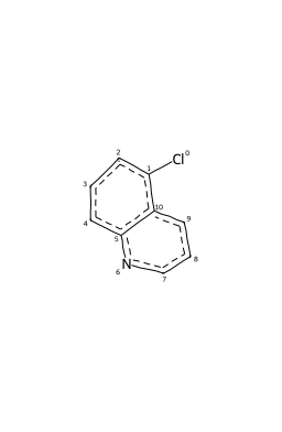 Clc1[c]ccc2ncccc12